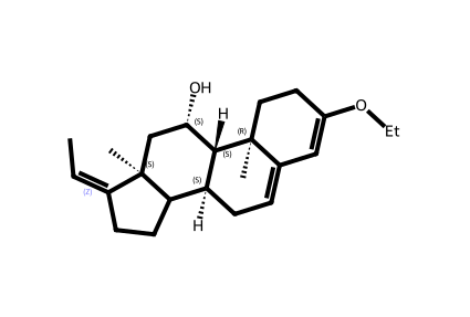 C/C=C1/CCC2[C@@H]3CC=C4C=C(OCC)CC[C@]4(C)[C@H]3[C@@H](O)C[C@]12C